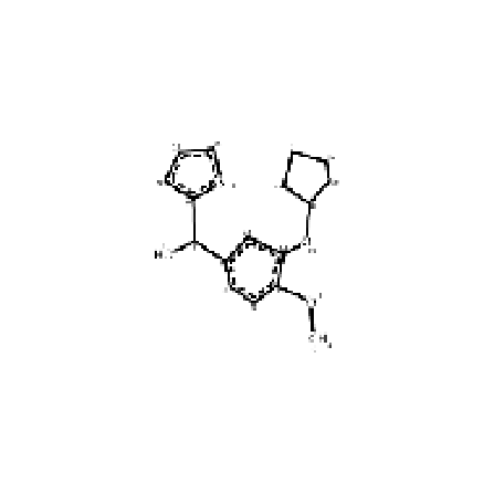 COc1ccc(C(O)c2cccs2)cc1OC1CCCC1